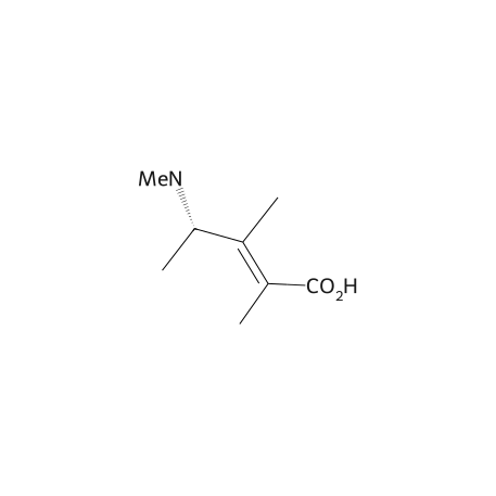 CN[C@@H](C)/C(C)=C(\C)C(=O)O